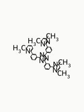 Cc1cccc(-c2cccc(-c3nc(-c4cccc(-c5nc(C)cc(C)n5)c4)nc(-c4cccc(-c5nc(C)cc(C)n5)c4)n3)c2)n1